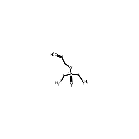 C=CCOP(=O)(CC)CC